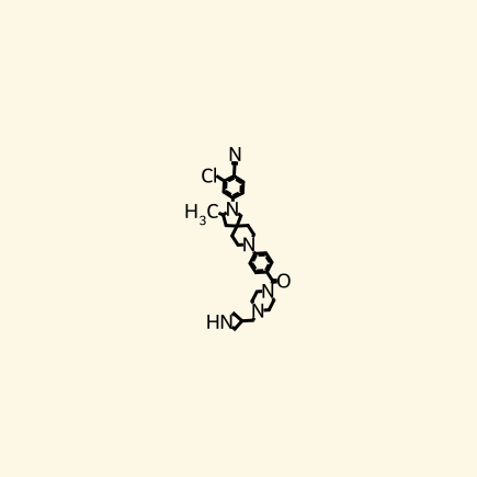 CC1CC2(CCN(c3ccc(C(=O)N4CCN(CC5CNC5)CC4)cc3)CC2)CN1c1ccc(C#N)c(Cl)c1